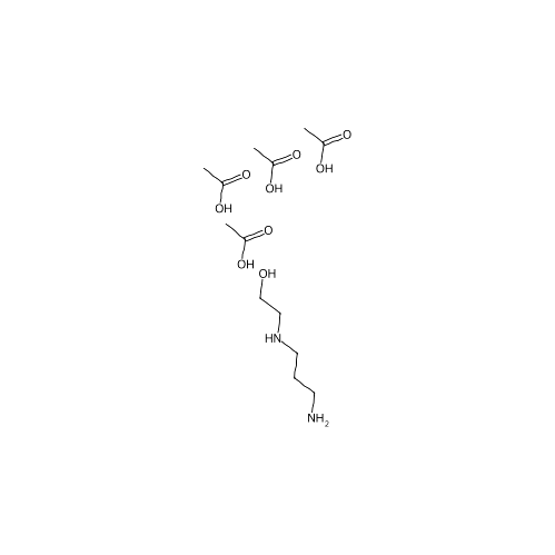 CC(=O)O.CC(=O)O.CC(=O)O.CC(=O)O.NCCCNCCO